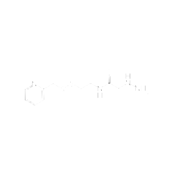 NNCC(=O)NCCSSCc1ccccn1